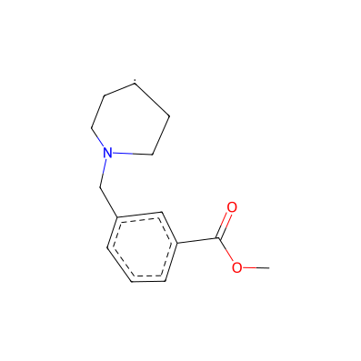 COC(=O)c1cccc(CN2CC[CH]CC2)c1